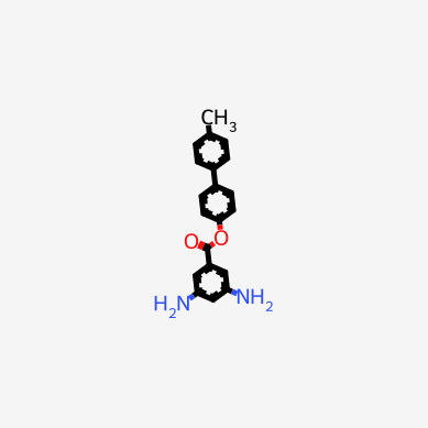 Cc1ccc(-c2ccc(OC(=O)c3cc(N)cc(N)c3)cc2)cc1